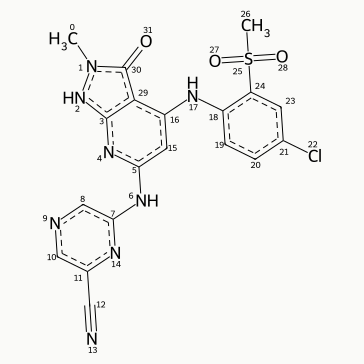 Cn1[nH]c2nc(Nc3cncc(C#N)n3)cc(Nc3ccc(Cl)cc3S(C)(=O)=O)c2c1=O